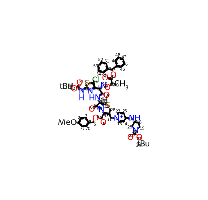 COc1ccc(COC(=O)C2=C(C[n+]3ccc(N[C@@H]4CCN(C(=O)OC(C)(C)C)C4)cc3)CS[C@@H]3[C@H](NC(=O)/C(=N\O[C@@H](C)C(=O)OC(c4ccccc4)c4ccccc4)c4nc(NC(=O)OC(C)(C)C)sc4Cl)C(=O)N23)cc1